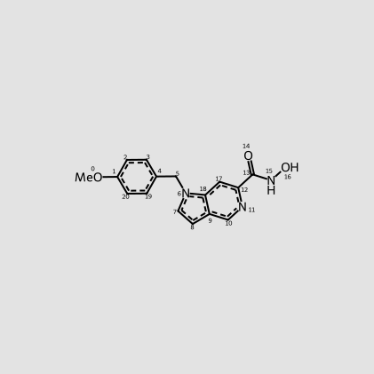 COc1ccc(Cn2ccc3cnc(C(=O)NO)cc32)cc1